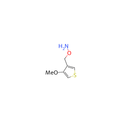 COc1cscc1CON